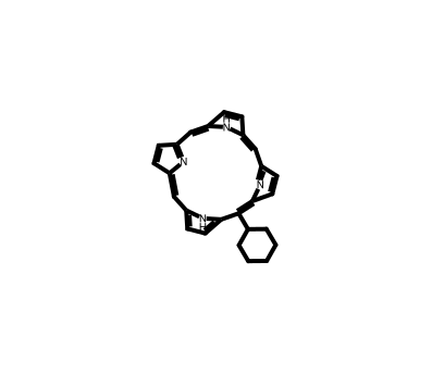 C1=Cc2cc3ccc([nH]3)c(C3CCCCC3)c3nc(cc4ccc(cc1n2)[nH]4)C=C3